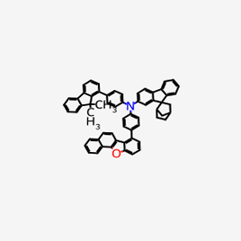 CC1(C)c2ccccc2-c2cccc(-c3ccc(N(c4ccc(-c5cccc6oc7c8ccccc8ccc7c56)cc4)c4ccc5c(c4)C4(CC6CCC4C6)c4ccccc4-5)cc3)c21